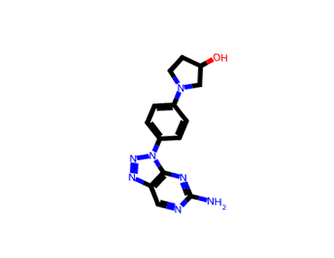 Nc1ncc2nnn(-c3ccc(N4CCC(O)C4)cc3)c2n1